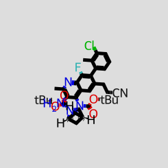 Cc1nc2c(F)c(-c3cccc(Cl)c3C)c(CCC#N)cc2c(N(C(=O)OC(C)(C)C)[C@H]2[C@@H]3C[C@H]2N(C(=O)OC(C)(C)C)C3)c1N